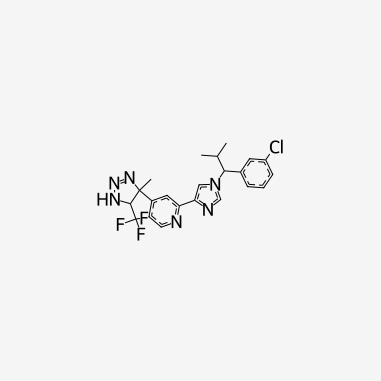 CC(C)C(c1cccc(Cl)c1)n1cnc(-c2cc(C3(C)N=NNC3C(F)(F)F)ccn2)c1